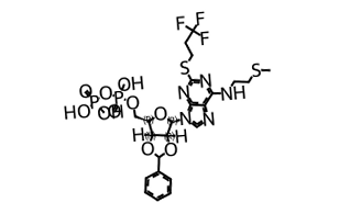 CSCCNc1nc(SCCC(F)(F)F)nc2c1ncn2[C@@H]1O[C@H](COP(=O)(O)OP(=O)(O)O)[C@H]2OC(c3ccccc3)O[C@H]21